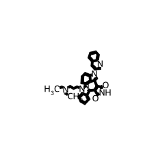 CCN(CC)CCCn1nc(C2=C(c3cn(-c4cnc5ccccc5c4)c4ccccc34)C(=O)NC2=O)c2ccccc21